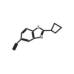 C#Cc1ccc2sc(C3CCC3)nc2c1